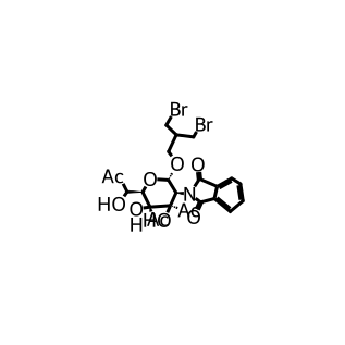 CC(=O)C(O)[C@H]1O[C@H](OCC(CBr)CBr)[C@@H](N2C(=O)c3ccccc3C2=O)[C@](O)(C(C)=O)[C@@]1(O)C(C)=O